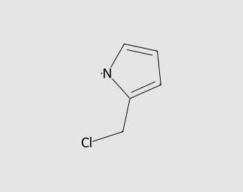 ClCC1=CC=C[N]1